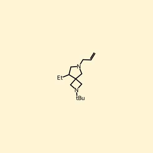 C=CCN1CC(CC)C2(C1)CN(C(C)(C)C)C2